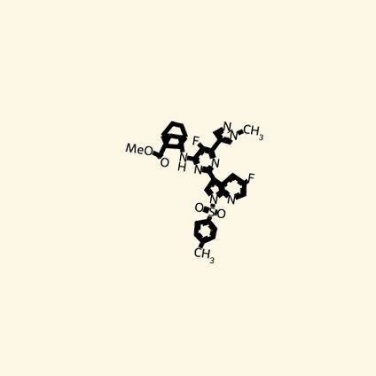 COC(=O)C1C2CCC(CC2)C1Nc1nc(-c2cn(S(=O)(=O)c3ccc(C)cc3)c3ncc(F)cc23)nc(-c2cnn(C)c2)c1F